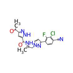 CC(=O)c1cc(C(=O)N[C@@H](C)Cn2ccc(-c3ccc(C#N)c(Cl)c3F)n2)[nH]n1